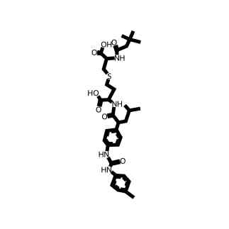 Cc1ccc(NC(=O)Nc2ccc(C(CC(C)C)C(=O)NC(CCSCC(NC(=O)CC(C)(C)C)C(=O)O)C(=O)O)cc2)cc1